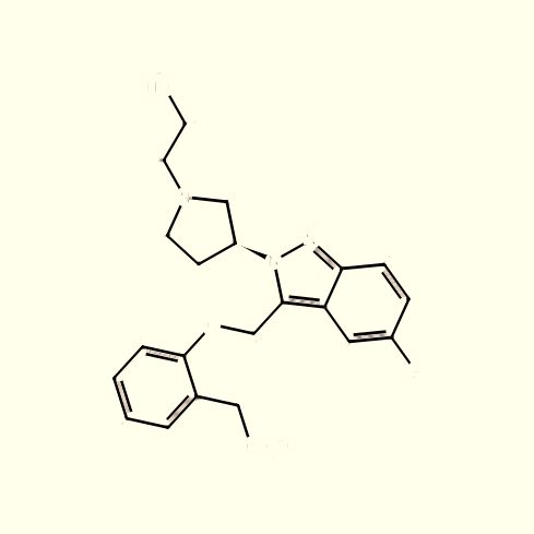 CCOC(=O)Cc1ccccc1OCc1c2cc(Br)ccc2nn1[C@H]1CCN(CCO)C1